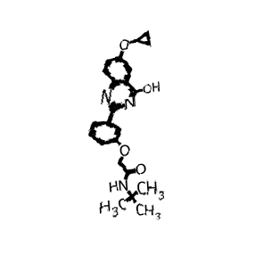 CC(C)(C)NC(=O)COc1cccc(-c2nc(O)c3cc(OC4CC4)ccc3n2)c1